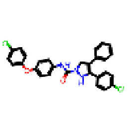 O=C(Nc1ccc(Oc2ccc(Cl)cc2)cc1)N1CC(c2ccccc2)=C(c2ccc(Cl)cc2)N1